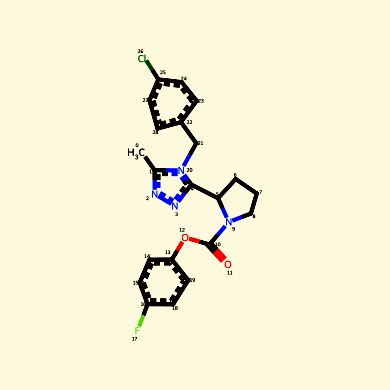 Cc1nnc(C2CCCN2C(=O)Oc2ccc(F)cc2)n1Cc1ccc(Cl)cc1